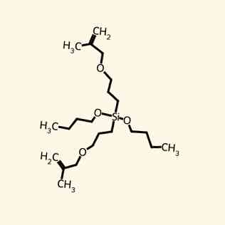 C=C(C)COCCC[Si](CCCOCC(=C)C)(OCCCC)OCCCC